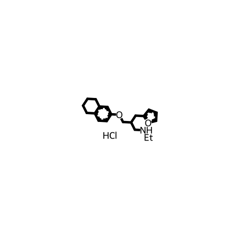 CCNCC(COc1ccc2c(c1)CCCC2)Cc1ccco1.Cl